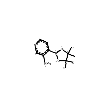 CNc1cnccc1B1OC(C)(C)C(C)(C)O1